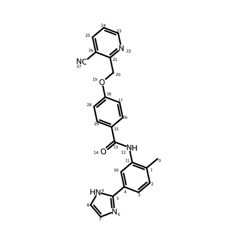 Cc1ccc(-c2ncc[nH]2)cc1NC(=O)c1ccc(OCc2ncccc2C#N)cc1